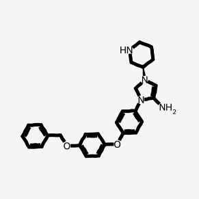 NC1=CN([C@@H]2CCCNC2)CN1c1ccc(Oc2ccc(OCc3ccccc3)cc2)cc1